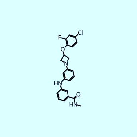 CNC(=O)c1cccc(Nc2cccc(N3CC(Oc4ccc(Cl)cc4F)C3)c2)c1